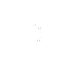 CC1(C)c2ccccc2N(c2ccccc2)c2ccc(-c3ccc(N(c4ccc(-c5ccccc5)cc4)c4ccc5c(c4)oc4ccccc45)cc3)cc21